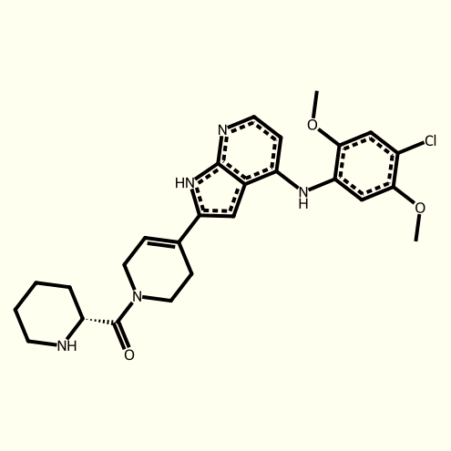 COc1cc(Nc2ccnc3[nH]c(C4=CCN(C(=O)[C@H]5CCCCN5)CC4)cc23)c(OC)cc1Cl